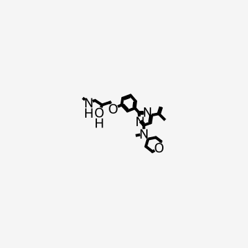 C=C(C)c1cc(N(C)C2CCOCC2)nc(-c2cccc(OCC(O)CNC)c2)n1